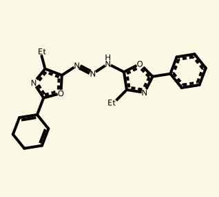 CCc1nc(C2=CCCC=C2)oc1N=NNc1oc(-c2ccccc2)nc1CC